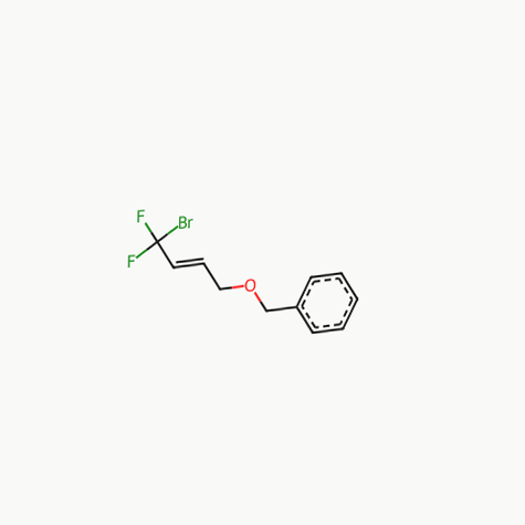 FC(F)(Br)C=CCOCc1ccccc1